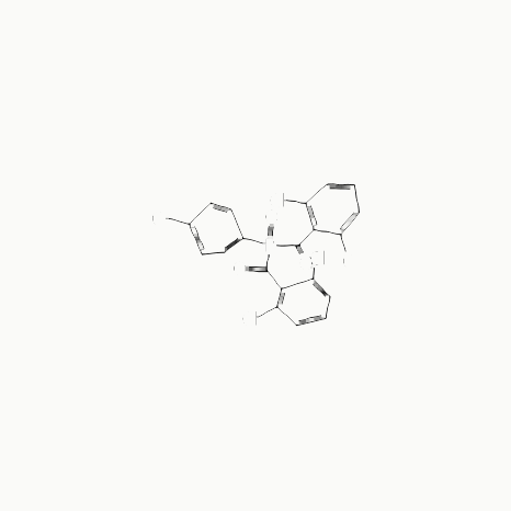 O=C(c1c(Cl)cccc1Cl)P(=O)(C(=O)c1c(Cl)cccc1Cl)c1ccc(Cl)cc1